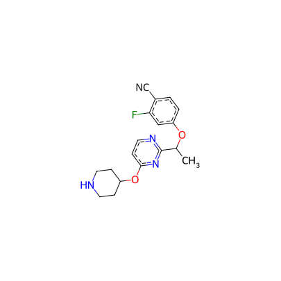 CC(Oc1ccc(C#N)c(F)c1)c1nccc(OC2CCNCC2)n1